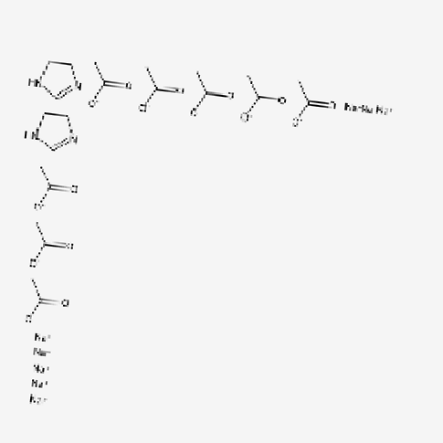 C1=NCCN1.C1=NCCN1.CC(=O)[O-].CC(=O)[O-].CC(=O)[O-].CC(=O)[O-].CC(=O)[O-].CC(=O)[O-].CC(=O)[O-].CC(=O)[O-].[Na+].[Na+].[Na+].[Na+].[Na+].[Na+].[Na+].[Na+]